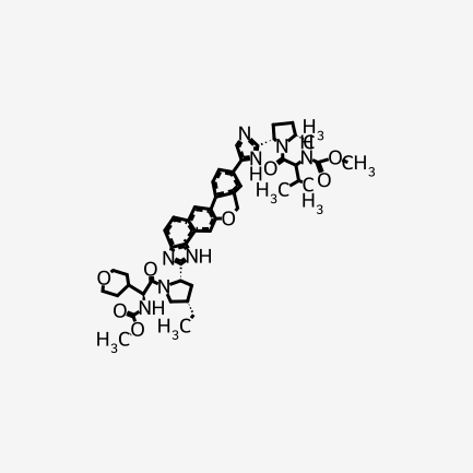 CC[C@H]1C[C@@H](c2nc3ccc4cc5c(cc4c3[nH]2)OCc2cc(-c3cnc([C@@H]4CC[C@H](C)N4C(=O)C(NC(=O)OC)C(C)C)[nH]3)ccc2-5)N(C(=O)[C@@H](NC(=O)OC)C2CCOCC2)C1